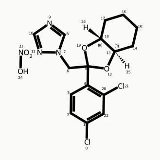 Clc1ccc(C2(Cn3cncn3)O[C@@H]3CCCC[C@H]3O2)c(Cl)c1.O=[N+]([O-])O